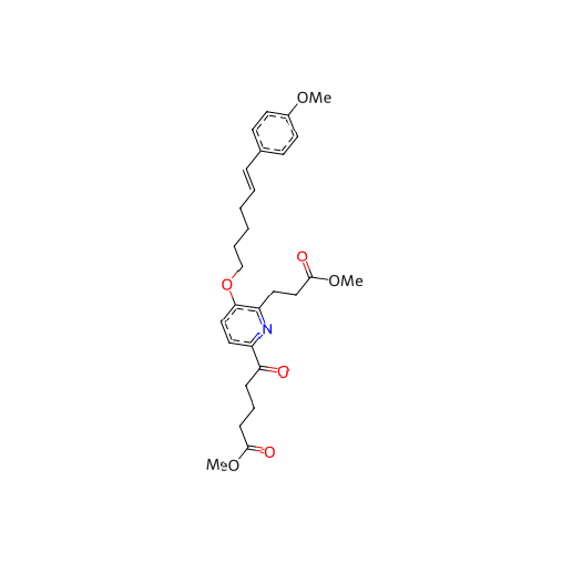 COC(=O)CCCC(=O)c1ccc(OCCCCC=Cc2ccc(OC)cc2)c(CCC(=O)OC)n1